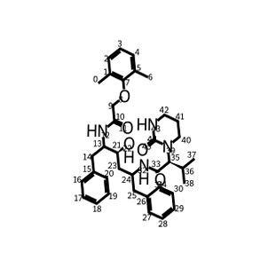 Cc1cccc(C)c1OCC(=O)NC(Cc1ccccc1)[C@@H](O)CC(Cc1ccccc1)NC(=O)[C@H](C(C)C)N1CCCNC1=O